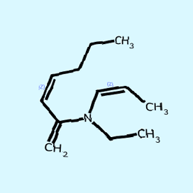 C=C(/C=C\CCC)N(/C=C\C)CC